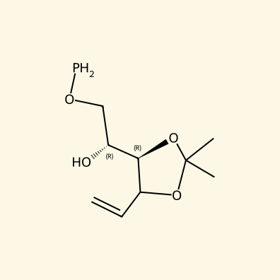 C=CC1OC(C)(C)O[C@@H]1[C@H](O)COP